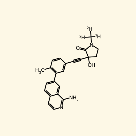 [2H]C([2H])([2H])N1CCC(O)(C#Cc2ccc(C)c(-c3ccc4ccnc(N)c4c3)c2)C1=O